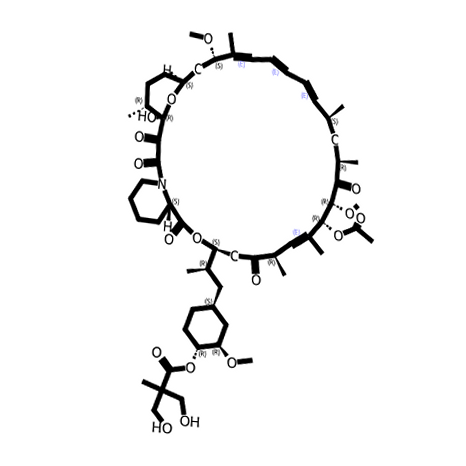 CO[C@H]1C[C@@H]2CC[C@@H](C)[C@@](O)(O2)C(=O)C(=O)N2CCCC[C@H]2C(=O)O[C@H]([C@H](C)C[C@@H]2CC[C@@H](OC(=O)C(C)(CO)CO)[C@H](OC)C2)CC(=O)[C@H](C)/C=C(\C)[C@@H](OC(C)=O)[C@@H](OC)C(=O)[C@H](C)C[C@H](C)/C=C/C=C/C=C/1C